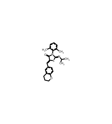 Cc1cccc(C)c1N1C(=O)/C(=C/c2ccc3c(c2)CCCO3)S/C1=N\C(C)C